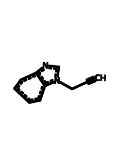 C#CCn1cnc2ccccc21